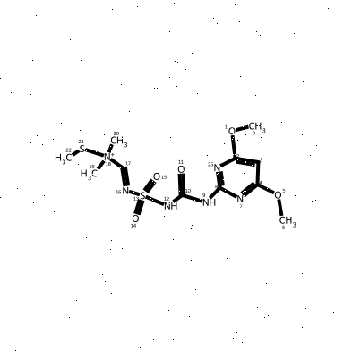 COc1cc(OC)nc(NC(=O)NS(=O)(=O)N=C[N+](C)(C)SC)n1